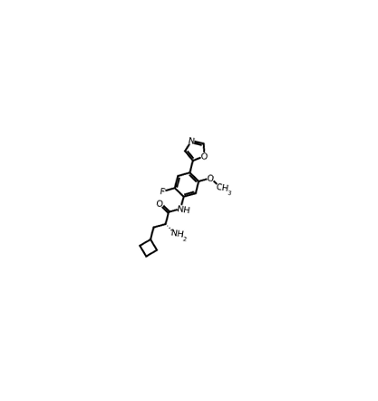 COc1cc(NC(=O)[C@H](N)CC2CCC2)c(F)cc1-c1cnco1